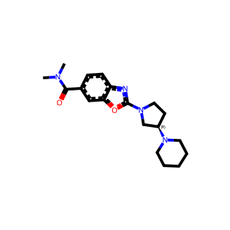 CN(C)C(=O)c1ccc2nc(N3CC[C@@H](N4CCCCC4)C3)oc2c1